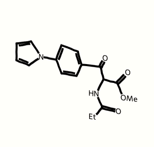 CCC(=O)NC(C(=O)OC)C(=O)c1ccc(-n2cccc2)cc1